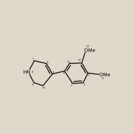 COc1ccc(C2=CCNCC2)cc1OC